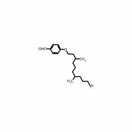 CC(C)CCCC(C)CCCC(C)CCOc1ccc([C]=O)cc1